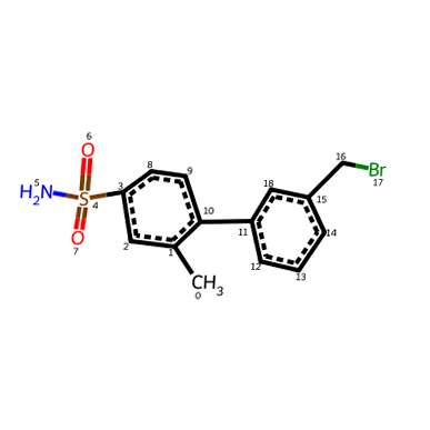 Cc1cc(S(N)(=O)=O)ccc1-c1cccc(CBr)c1